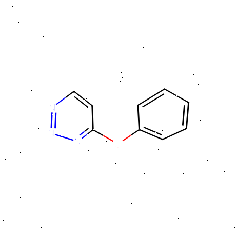 c1ccc(Oc2ccnnn2)cc1